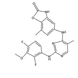 COc1c(F)ccc(Nc2ncc(C)c(Nc3cc(C)c4oc(=O)[nH]c4c3)n2)c1F